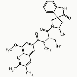 Cc1cc2cc(C(=O)N(C)[C@@H](CC(C)C)C(=O)N3C[C@]4(C[C@H]3C#N)C(=O)Nc3ccccc34)cc(OC(F)(F)F)c2nc1C